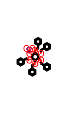 O=P(=O)O[C@@H]1C(OCc2ccccc2)[C@H](OCc2ccccc2)C(OCc2ccccc2)C(OCc2ccccc2)[C@@H]1OCc1ccccc1